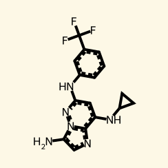 Nc1cnc2c(NC3CC3)cc(Nc3cccc(C(F)(F)F)c3)nn12